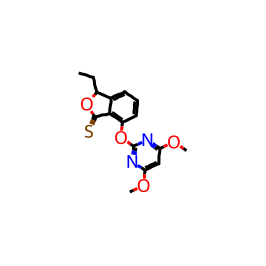 CCC1OC(=S)c2c(Oc3nc(OC)cc(OC)n3)cccc21